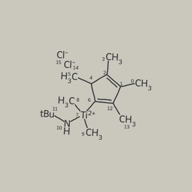 CC1=C(C)C(C)[C]([Ti+2]([CH3])([CH3])[NH]C(C)(C)C)=C1C.[Cl-].[Cl-]